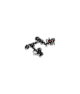 COc1c(C)c2c(c(O)c1C/C=C(\C)CCC(=O)OC(COCCCCOCC(CN1CCOCC1)OC(=O)CC/C(C)=C/Cc1c(O)c3c(c(C)c1OC)COC3=O)CN1CCOCC1)OCOC2